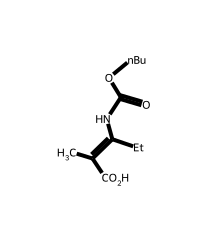 CCCCOC(=O)N/C(CC)=C(\C)C(=O)O